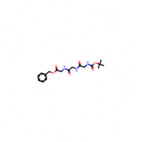 CC(C)(C)OC(=O)NCC(=O)NCC(=O)NCC(=O)OCc1ccccc1